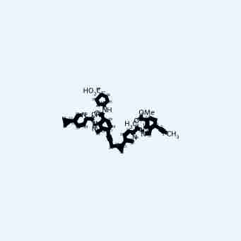 CC#Cc1ccc(C(=O)OC)c2c1cnn2C(C)c1ccc(C2CC2CC#Cc2ccc(C(=O)NC3CCC(C(=O)O)CC3)c3c2cnn3C(C)c2ccc(C3CC3)cn2)cn1